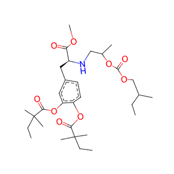 CCC(C)COC(=O)OC(C)CN[C@@H](Cc1ccc(OC(=O)C(C)(C)CC)c(OC(=O)C(C)(C)CC)c1)C(=O)OC